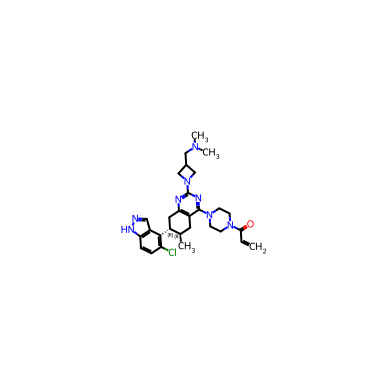 C=CC(=O)N1CCN(c2nc(N3CC(CN(C)C)C3)nc3c2C[C@@H](C)[C@H](c2c(Cl)ccc4[nH]ncc24)C3)CC1